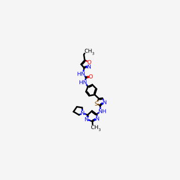 CCc1cc(NC(=O)Nc2ccc(-c3cnc(Nc4cc(N5CCCC5)nc(C)n4)s3)cc2)no1